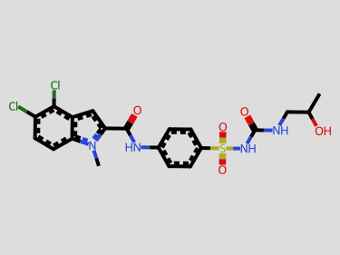 CC(O)CNC(=O)NS(=O)(=O)c1ccc(NC(=O)c2cc3c(Cl)c(Cl)ccc3n2C)cc1